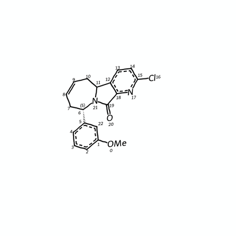 COc1cccc([C@@H]2CC=CCC3c4ccc(Cl)nc4C(=O)N32)c1